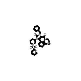 O=C(c1c(-c2ccccc2)n(C2CCCN(S(=O)(=O)c3ccccn3)C2)c(=O)n1Cc1ccccc1)N1CCNCC1